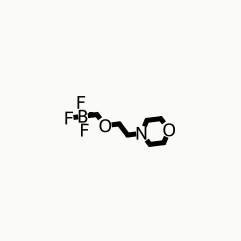 F[B-](F)(F)COCCN1CCOCC1